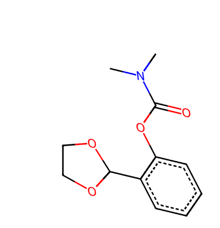 CN(C)C(=O)Oc1ccccc1C1OCCO1